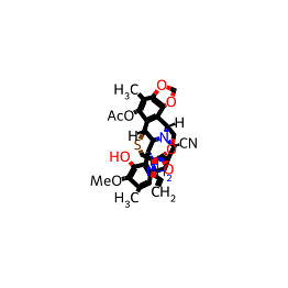 C=CCN1C2c3c(cc(C)c(OC)c3O)CC1[C@H](C#N)N1C2[C@@H]2SCC(N)C(=O)OC[C@H]1c1c3c(c(C)c(OC(C)=O)c12)OCO3